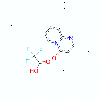 O=C(O)C(F)(F)F.O=c1ccnc2ccccn12